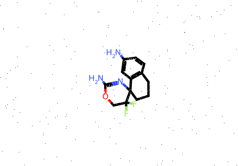 NC1=NC2(CCCc3ccc(N)cc32)C(F)(F)CO1